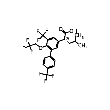 CC(C)C[C@@H](C(=O)O)c1cc(-c2ccc(C(F)(F)F)cc2)c(OCC(F)(F)F)c(C(F)(F)F)c1